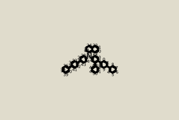 C1=CC(c2ccccc2)CC=C1c1ccc(N(C2=c3ccccc3=CCC2)c2ccc(-c3ccc(-c4ccccc4)cc3)cc2)cc1-c1ccccc1